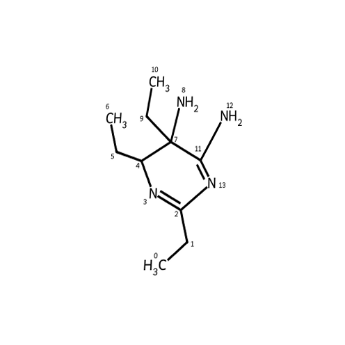 CCC1=NC(CC)C(N)(CC)C(N)=N1